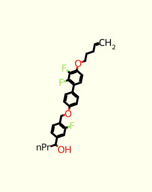 C=CCCCOc1ccc(-c2ccc(OCc3ccc(C(O)CCC)cc3F)cc2)c(F)c1F